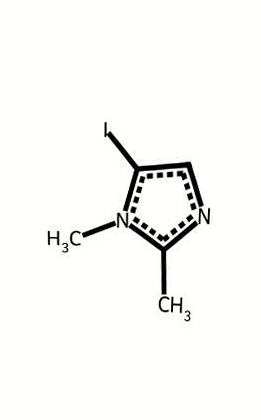 Cc1ncc(I)n1C